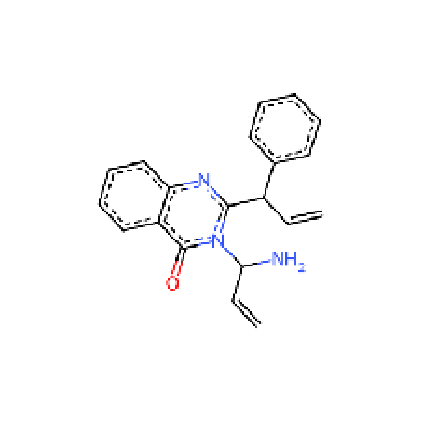 C=CC(c1ccccc1)c1nc2ccccc2c(=O)n1C(N)C=C